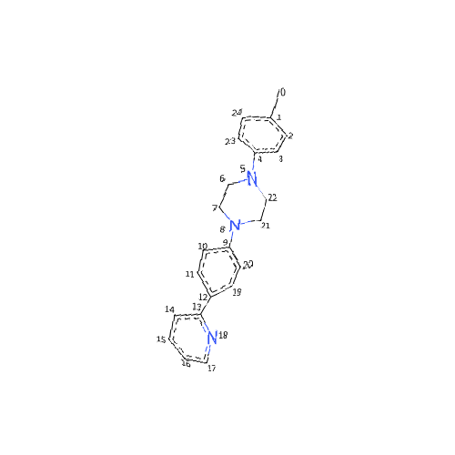 Cc1ccc(N2CCN(c3ccc(-c4ccccn4)cc3)CC2)cc1